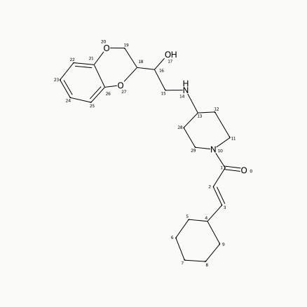 O=C(C=CC1CCCCC1)N1CCC(NCC(O)C2COc3ccccc3O2)CC1